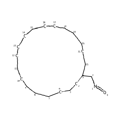 O=NCC1CCCCCCCCCCCCCCCCCCC1